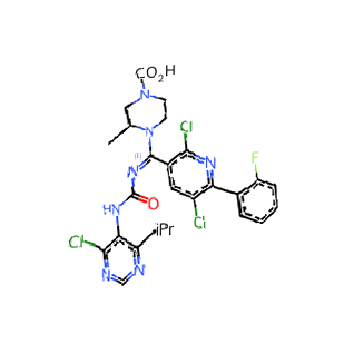 CC(C)c1ncnc(Cl)c1NC(=O)/N=C(\c1cc(Cl)c(-c2ccccc2F)nc1Cl)N1CCN(C(=O)O)CC1C